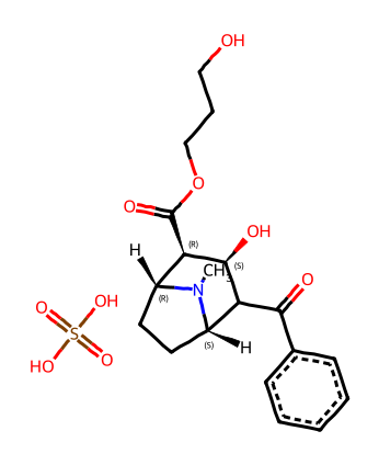 CN1[C@@H]2CC[C@H]1C(C(=O)c1ccccc1)[C@H](O)[C@@H]2C(=O)OCCCO.O=S(=O)(O)O